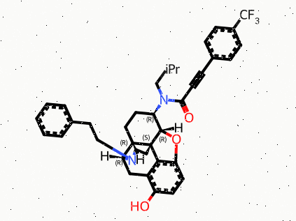 CC(C)CN(C(=O)C#Cc1ccc(C(F)(F)F)cc1)[C@@H]1CC[C@H]2[C@H]3Cc4c(O)ccc5c4[C@@]2(CCN3CCc2ccccc2)[C@H]1O5